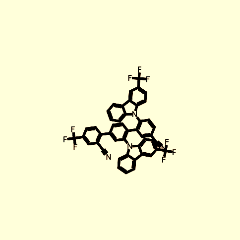 N#Cc1ccc(-n2c3ccccc3c3cc(C(F)(F)F)ccc32)c(-c2ccc(-c3ccc(C(F)(F)F)cc3C#N)cc2-n2c3ccccc3c3cc(C(F)(F)F)ccc32)c1